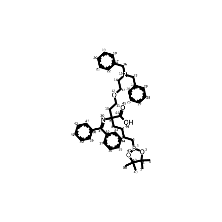 CC1(C)OB(CCCCC(CCOCCN(Cc2ccccc2)Cc2ccccc2)(N=C(c2ccccc2)c2ccccc2)C(=O)O)OC1(C)C